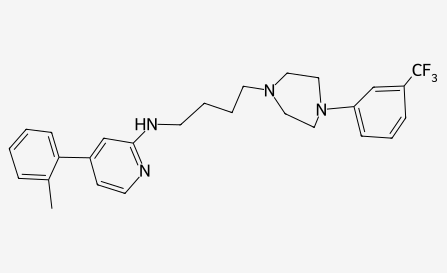 Cc1ccccc1-c1ccnc(NCCCCN2CCN(c3cccc(C(F)(F)F)c3)CC2)c1